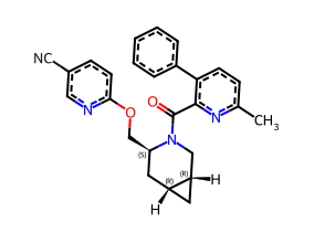 Cc1ccc(-c2ccccc2)c(C(=O)N2C[C@@H]3C[C@@H]3C[C@H]2COc2ccc(C#N)cn2)n1